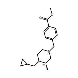 COC(=O)c1ccc(CN2CCN(CC3CC3)[C@H](C)C2)cc1